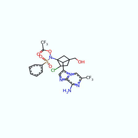 Nc1nc(C(F)(F)F)cn2c(C3C4(CO)CC(Cl)C3(N(OC(=O)C(F)(F)F)S(=O)(=O)c3ccccc3)C4)cnc12